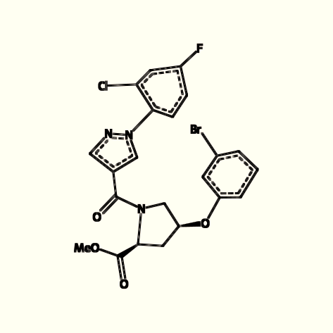 COC(=O)[C@@H]1C[C@H](Oc2cccc(Br)c2)CN1C(=O)c1cnn(-c2ccc(F)cc2Cl)c1